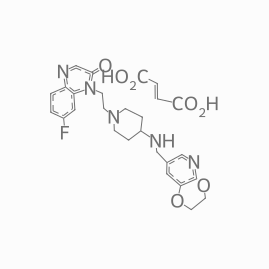 O=C(O)/C=C/C(=O)O.O=c1cnc2ccc(F)cc2n1CCN1CCC(NCc2cnc3c(c2)OCCO3)CC1